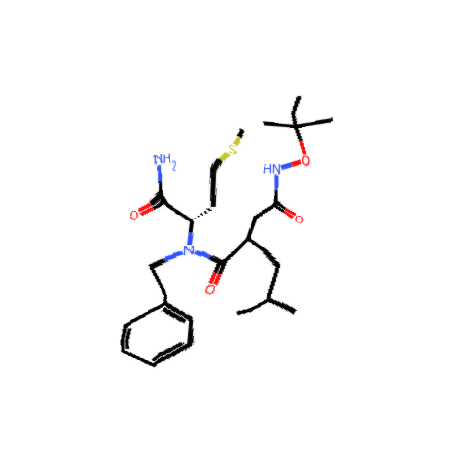 CSCC[C@@H](C(N)=O)N(Cc1ccccc1)C(=O)C(CC(=O)NOC(C)(C)C)CC(C)C